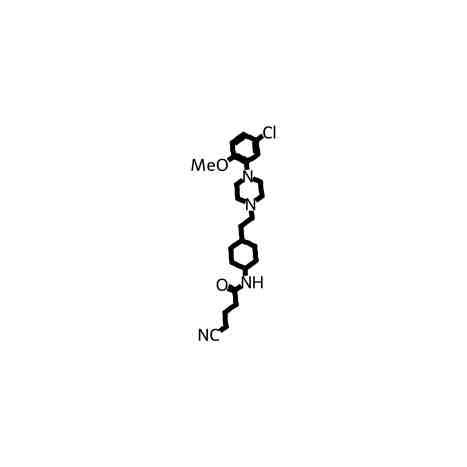 COc1ccc(Cl)cc1N1CCN(CCC2CCC(NC(=O)CCCC#N)CC2)CC1